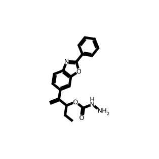 C=C(c1ccc2nc(-c3ccccc3)oc2c1)C(CC)OC(=O)NN